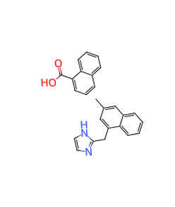 Cc1cc(Cc2ncc[nH]2)c2ccccc2c1.O=C(O)c1cccc2ccccc12